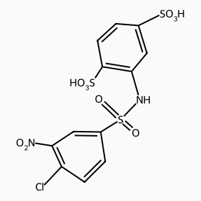 O=[N+]([O-])c1cc(S(=O)(=O)Nc2cc(S(=O)(=O)O)ccc2S(=O)(=O)O)ccc1Cl